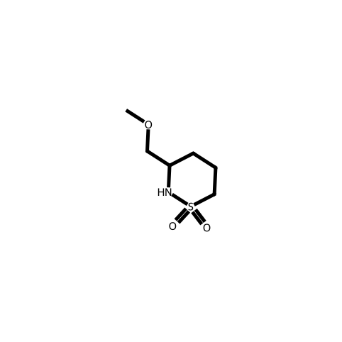 COCC1CCCS(=O)(=O)N1